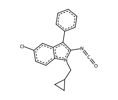 O=C=Nc1c(-c2ccccc2)c2cc(Cl)ccc2n1CC1CC1